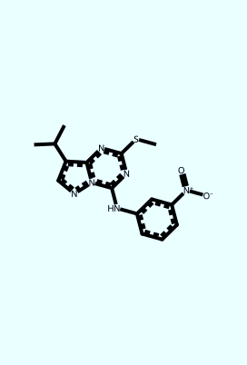 CSc1nc(Nc2cccc([N+](=O)[O-])c2)n2ncc(C(C)C)c2n1